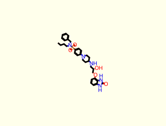 CCCCN(Cc1ccccc1)S(=O)(=O)c1ccc(N2CCC(NC[C@H](O)COc3cccc4[nH]c(=O)[nH]c34)CC2)cc1